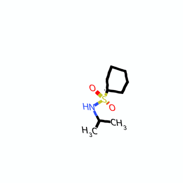 CC(C)NS(=O)(=O)[C]1CCCCC1